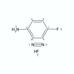 F.N#N.Nc1ccc(F)cc1